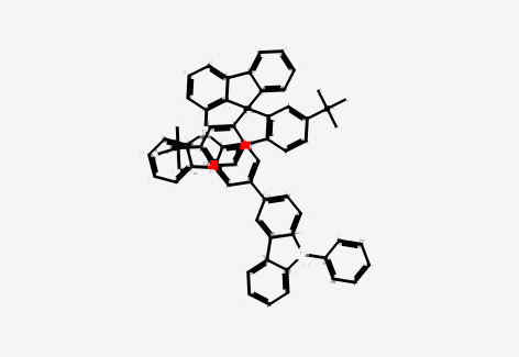 CC(C)(C)c1ccc2c(c1)C1(c3cc(C(C)(C)C)ccc3-2)c2ccccc2-c2cccc(-n3c4ccccc4c4cc(-c5ccc6c(c5)c5ccccc5n6-c5ccccc5)ccc43)c21